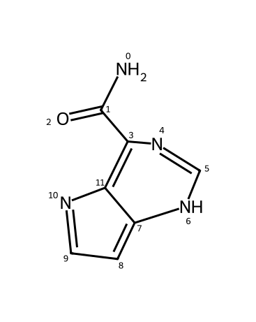 NC(=O)c1nc[nH]c2ccnc1-2